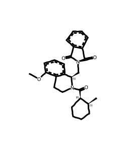 COc1cccc2c1CCN(C(=O)[C@@H]1CCCC[C@@H]1C)[C@@H]2CN1C(=O)c2ccccc2C1=O